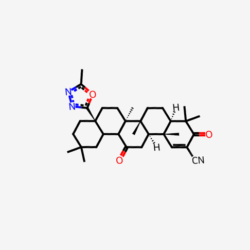 Cc1nnc([C@]23CCC(C)(C)CC2C2C(=O)C[C@@H]4[C@@]5(C)C=C(C#N)C(=O)C(C)(C)[C@@H]5CC[C@@]4(C)[C@]2(C)CC3)o1